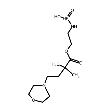 CC(C)(CCN1CCOCC1)C(=O)OCCN[PH](=O)O